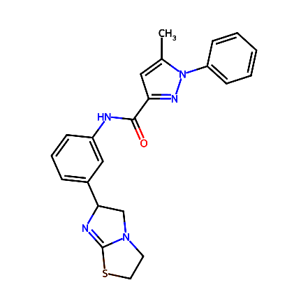 Cc1cc(C(=O)Nc2cccc(C3CN4CCSC4=N3)c2)nn1-c1ccccc1